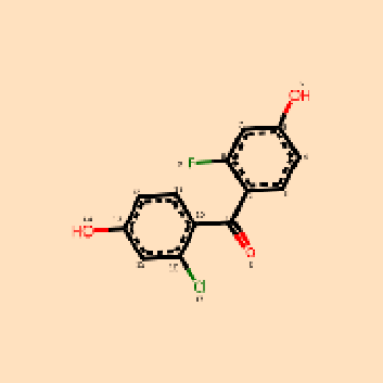 O=C(c1ccc(O)cc1F)c1ccc(O)cc1Cl